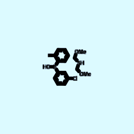 COCNCOC.Cc1ccccc1B(O)c1cccc(Cl)c1